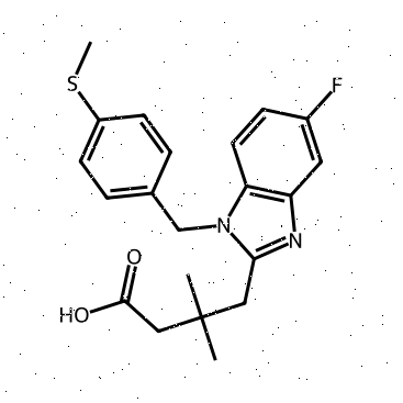 CSc1ccc(Cn2c(CC(C)(C)CC(=O)O)nc3cc(F)ccc32)cc1